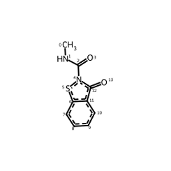 CNC(=O)n1sc2ccccc2c1=O